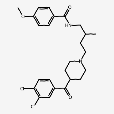 COc1ccc(C(=O)NCC(C)CCN2CCC(C(=O)c3ccc(Cl)c(Cl)c3)CC2)cc1